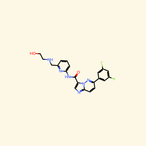 O=C(Nc1cccc(CNCCO)n1)c1cnc2ccc(-c3cc(F)cc(F)c3)nn12